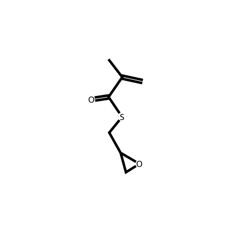 C=C(C)C(=O)SCC1CO1